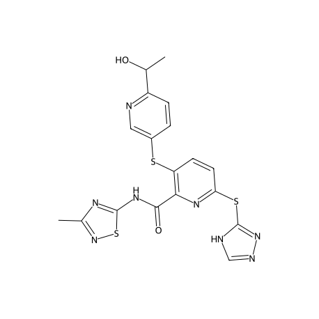 Cc1nsc(NC(=O)c2nc(Sc3nnc[nH]3)ccc2Sc2ccc(C(C)O)nc2)n1